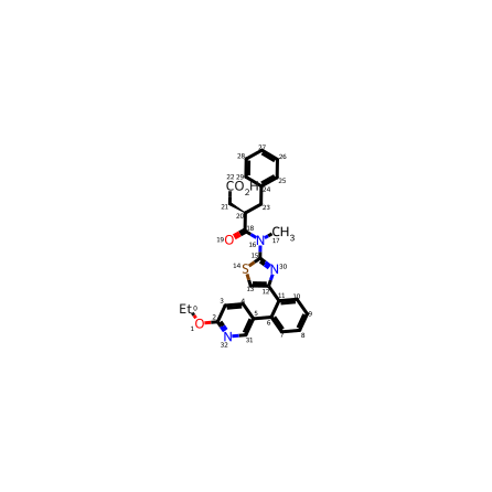 CCOc1ccc(-c2ccccc2-c2csc(N(C)C(=O)[C@@H](CC(=O)O)Cc3ccccc3)n2)cn1